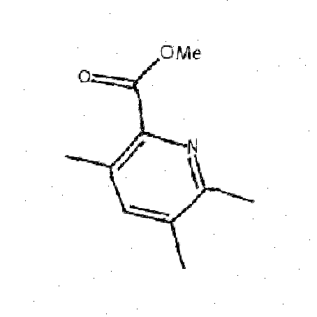 COC(=O)c1nc(C)c(C)cc1C